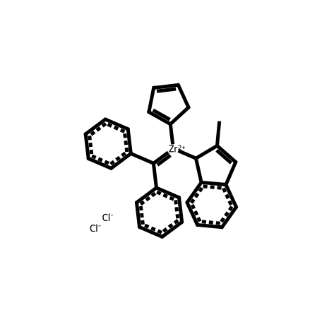 CC1=Cc2ccccc2[CH]1[Zr+2]([C]1=CC=CC1)=[C](c1ccccc1)c1ccccc1.[Cl-].[Cl-]